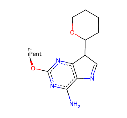 CCC[C@H](C)Oc1nc(N)c2c(n1)C(C1CCCCO1)C=N2